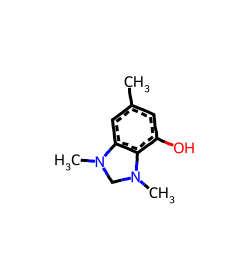 Cc1cc(O)c2c(c1)N(C)CN2C